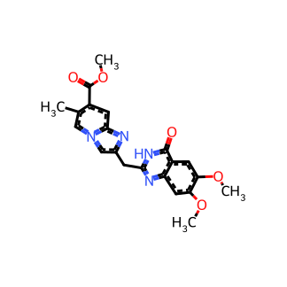 COC(=O)c1cc2nc(Cc3nc4cc(OC)c(OC)cc4c(=O)[nH]3)cn2cc1C